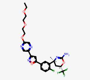 CCOCCOCCOc1cnc(-c2cc(-c3ccc(F)c([C@]4(C)C[C@@H](C(F)(F)F)OC(N)=N4)c3)on2)cn1